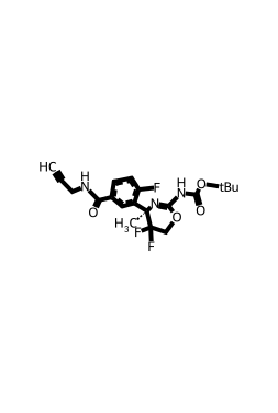 C#CCNC(=O)c1ccc(F)c([C@@]2(C)N=C(NC(=O)OC(C)(C)C)OCC2(F)F)c1